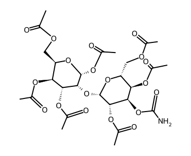 CC(=O)OC[C@H]1O[C@H](OC(C)=O)[C@H](O[C@@H]2O[C@H](COC(C)=O)[C@@H](OC(C)=O)[C@@H](OC(N)=O)[C@@H]2OC(C)=O)[C@H](OC(C)=O)[C@H]1OC(C)=O